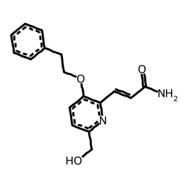 NC(=O)C=Cc1nc(CO)ccc1OCCc1ccccc1